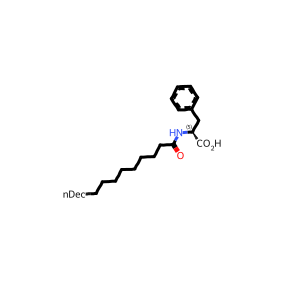 CCCCCCCCCCCCCCCCCCC(=O)N[C@@H](Cc1ccccc1)C(=O)O